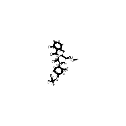 COSCCN(C(=O)c1c(F)cccc1F)C(=O)N(C)c1ccc(SC(F)(F)F)cc1F